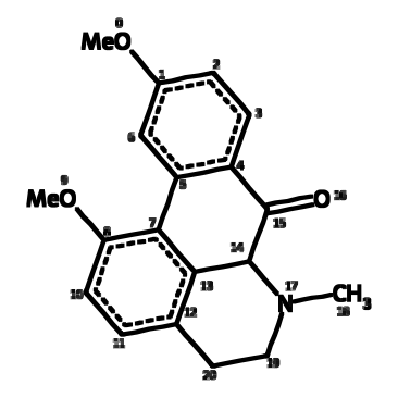 COc1ccc2c(c1)-c1c(OC)ccc3c1C(C2=O)N(C)CC3